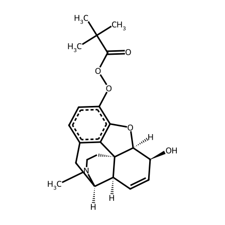 CN1CC[C@]23c4c5ccc(OOC(=O)C(C)(C)C)c4O[C@H]2[C@@H](O)C=C[C@H]3[C@H]1C5